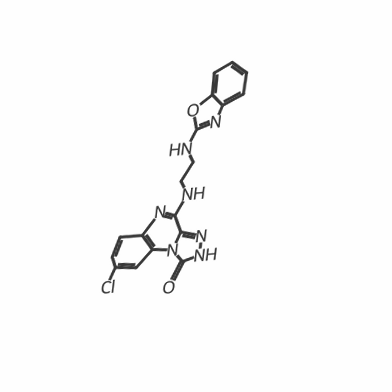 O=c1[nH]nc2c(NCCNc3nc4ccccc4o3)nc3ccc(Cl)cc3n12